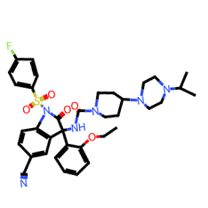 CCOc1ccccc1C1(NC(=O)N2CCC(N3CCN(C(C)C)CC3)CC2)C(=O)N(S(=O)(=O)c2ccc(F)cc2)c2ccc(C#N)cc21